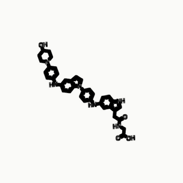 O=C(O)CNC(=O)Cc1c[nH]c2ccc(Nc3ccc(-n4ccc5cc(Nc6ccc(N7CCC(O)CC7)cc6)ccc54)cc3)cc12